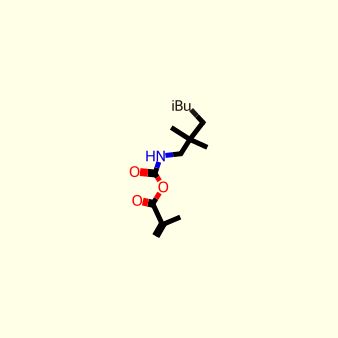 C=C(C)C(=O)OC(=O)NCC(C)(C)CC(C)CC